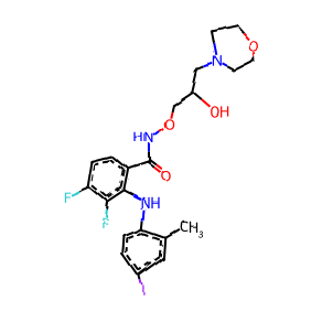 Cc1cc(I)ccc1Nc1c(C(=O)NOCC(O)CN2CCOCC2)ccc(F)c1F